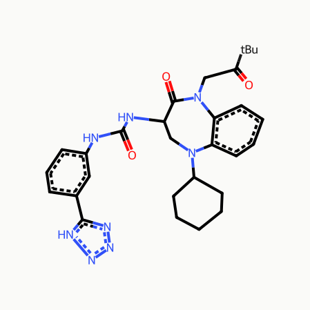 CC(C)(C)C(=O)CN1C(=O)C(NC(=O)Nc2cccc(-c3nnn[nH]3)c2)CN(C2CCCCC2)c2ccccc21